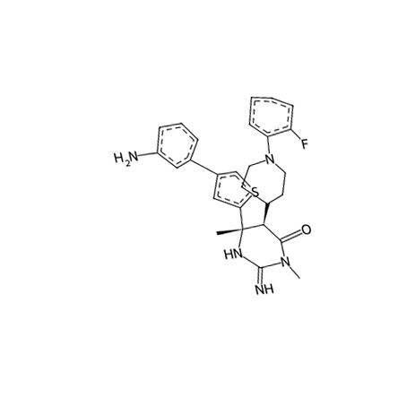 CN1C(=N)N[C@](C)(c2cc(-c3cccc(N)c3)cs2)[C@@H](C2CCN(c3ccccc3F)CC2)C1=O